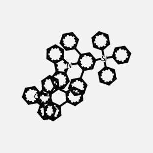 c1ccc(-c2cc([Si](c3ccccc3)(c3ccccc3)c3ccccc3)cc(-c3ccccc3)c2-n2c3ccccc3c3cc(-n4c5ccccc5c5cccc(-c6ccccc6-c6cccc7oc8ccccc8c67)c54)ccc32)cc1